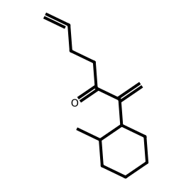 C=CCCC(=O)C(=C)C1CCCCC1C